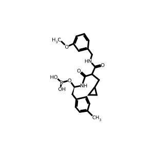 COc1cccc(CNC(=O)C(CC2CC2)C(=O)N[C@@H](Cc2ccc(C)cc2)OB(O)O)c1